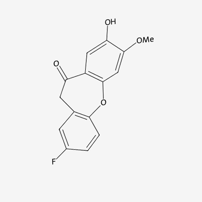 COc1cc2c(cc1O)C(=O)Cc1cc(F)ccc1O2